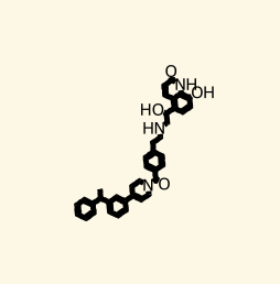 CC(c1ccccc1)c1cccc(C2=CCN(C(=O)c3ccc(CCNCC(O)c4ccc(O)c5[nH]c(=O)ccc45)cc3)CC2)c1